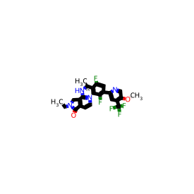 CCN1Cc2c(ccnc2N[C@@H](C)c2cc(F)c(-c3cc(C(F)(F)F)c(OC)cn3)cc2F)C1=O